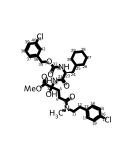 COC(=O)C(O)(CCC(=O)N(C)CCc1ccc(Cl)cc1)NC(=O)[C@H](CC1CCCCC1)NC(=O)OCc1cccc(Cl)c1